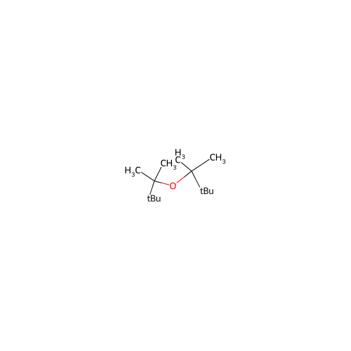 CC(C)(C)C(C)(C)OC(C)(C)C(C)(C)C